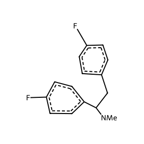 CNC(Cc1ccc(F)cc1)c1ccc(F)cc1